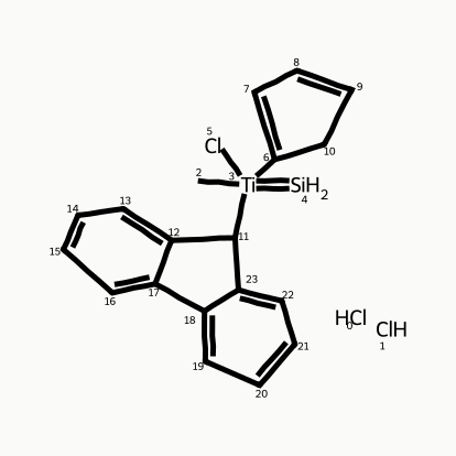 Cl.Cl.[CH3][Ti](=[SiH2])([Cl])([C]1=CC=CC1)[CH]1c2ccccc2-c2ccccc21